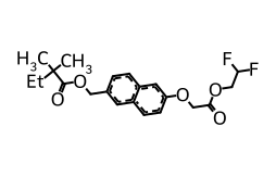 CCC(C)(C)C(=O)OCc1ccc2cc(OCC(=O)OCC(F)F)ccc2c1